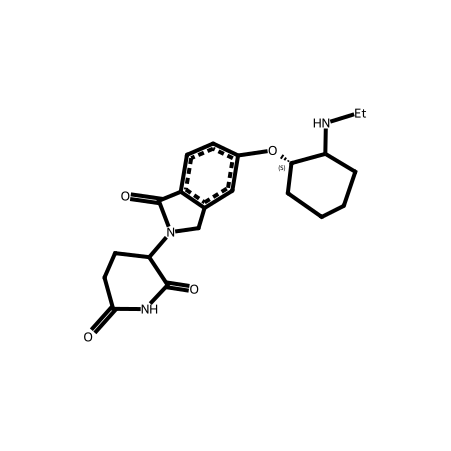 CCNC1CCCC[C@@H]1Oc1ccc2c(c1)CN(C1CCC(=O)NC1=O)C2=O